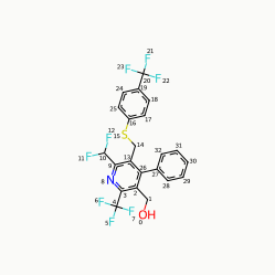 OCc1c(C(F)(F)F)nc(C(F)F)c(CSc2ccc(C(F)(F)F)cc2)c1-c1ccccc1